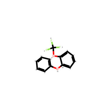 FC(F)(F)Oc1ccccc1Oc1c[c]ccc1